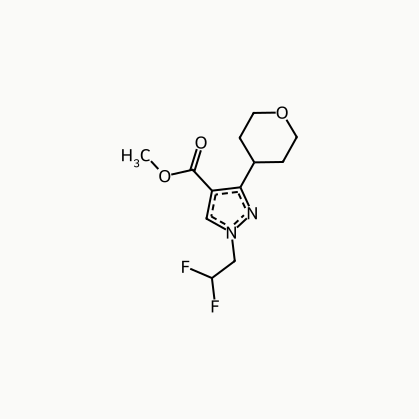 COC(=O)c1cn(CC(F)F)nc1C1CCOCC1